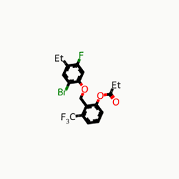 CCC(=O)Oc1cccc(C(F)(F)F)c1COc1cc(F)c(CC)cc1Br